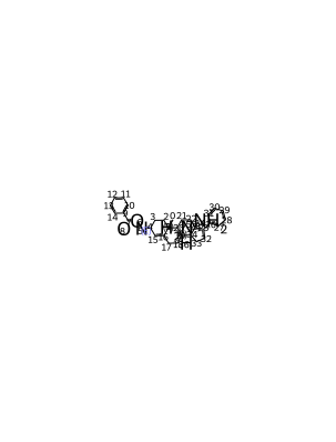 C[C@]12CC/C(=N\OC(=O)c3ccccc3)C=C1CC[C@@H]1C2CC[C@]2(N)C(c3ccccc3)=CCC12N